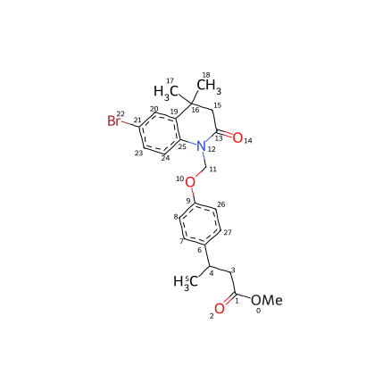 COC(=O)CC(C)c1ccc(OCN2C(=O)CC(C)(C)c3cc(Br)ccc32)cc1